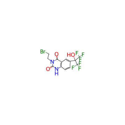 O=c1[nH]c2ccc(C(O)(C(F)(F)F)C(F)(F)F)cc2c(=O)n1CCBr